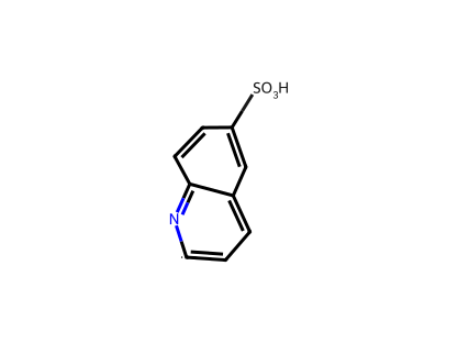 O=S(=O)(O)c1ccc2n[c]ccc2c1